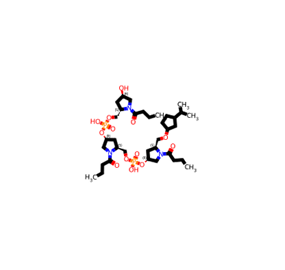 CCCC(=O)N1C[C@H](O)C[C@H]1COP(=O)(O)O[C@@H]1C[C@@H](COP(=O)(O)O[C@@H]2C[C@@H](COC3CCC(C(C)C)C3)N(C(=O)CCC)C2)N(C(=O)CCC)C1